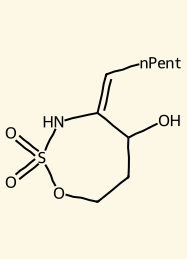 CCCCC/C=C1/NS(=O)(=O)OCCC1O